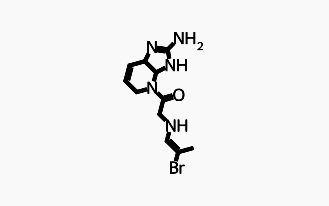 C/C(Br)=C\NCC(=O)N1CC=CC2N=C(N)NC21